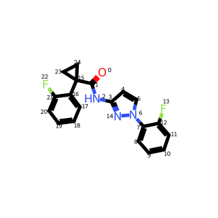 O=C(Nc1ccn(-c2ccccc2F)n1)C1(c2ccccc2F)CC1